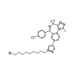 Cc1nnc2n1-c1ccc(-c3cnn(CCCCCCCCCBr)c3)cc1C(c1ccc(Cl)cc1)=NC21CC1